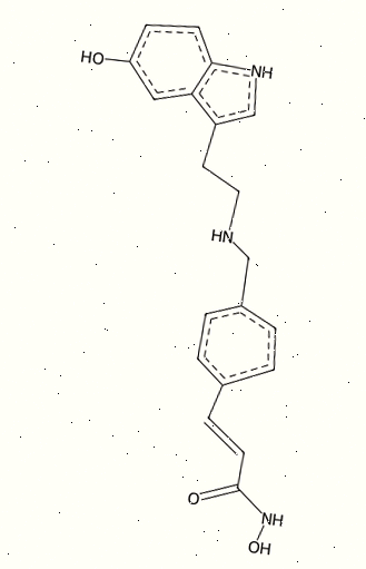 O=C(/C=C/c1ccc(CNCCc2c[nH]c3ccc(O)cc23)cc1)NO